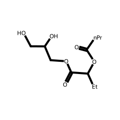 CCCC(=O)OC(CC)C(=O)OCC(O)CO